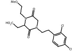 COCCN1C(=O)CN(CCc2ccc(Cl)cc2Cl)C(=O)C1CC(=O)O